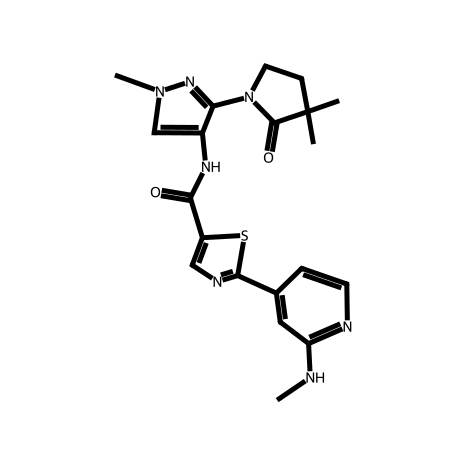 CNc1cc(-c2ncc(C(=O)Nc3cn(C)nc3N3CCC(C)(C)C3=O)s2)ccn1